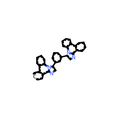 c1cc(-c2cnc3c4ccccc4c4ccccc4n23)cc(-c2cnc3c4ccccc4c4ccccc4n23)c1